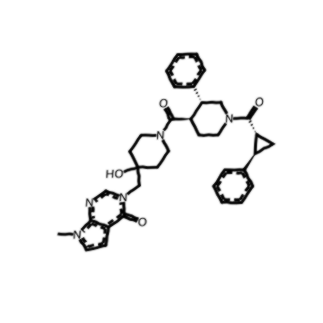 Cn1ccc2c(=O)n(CC3(O)CCN(C(=O)[C@@H]4CCN(C(=O)[C@@H]5C[C@H]5c5ccccc5)C[C@H]4c4ccccc4)CC3)cnc21